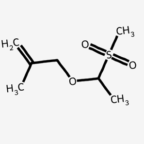 C=C(C)COC(C)S(C)(=O)=O